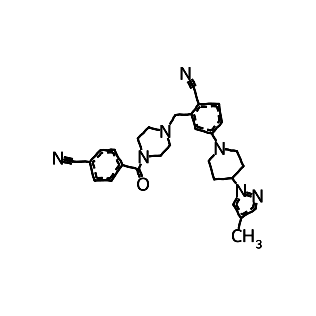 Cc1cnn(C2CCN(c3ccc(C#N)c(CN4CCN(C(=O)c5ccc(C#N)cc5)CC4)c3)CC2)c1